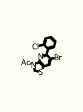 CC(=O)N1CSc2cc(Br)c(-c3ccccc3Cl)nc21